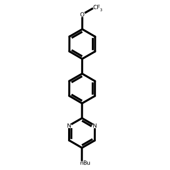 CCCCc1cnc(-c2ccc(-c3ccc(OC(F)(F)F)cc3)cc2)nc1